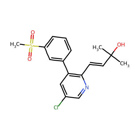 CC(C)(O)C=Cc1ncc(Cl)cc1-c1cccc(S(C)(=O)=O)c1